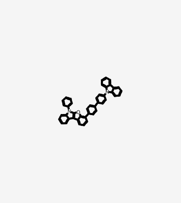 c1ccc(-n2c3ccccc3c3c4cccc(-c5ccc(-c6ccc(-n7c8ccccc8c8ccccc87)cc6)cc5)c4oc32)cc1